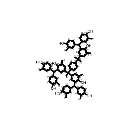 Cc1cc(C(c2ccc(O)c(C)c2)c2cc(C(C)(C)c3ccc(C(C)(c4cc(C)c(O)c(C(c5ccc(O)c(C)c5)c5ccc(O)c(C)c5)c4)c4cc(C)c(O)c(C(c5ccc(O)c(C)c5)c5ccc(O)c(C)c5)c4)cc3)cc(C)c2O)ccc1O